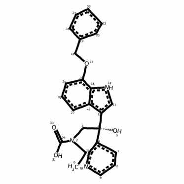 CCN(C[C@](O)(c1cccnc1)c1c[nH]c2c(OCc3ccccc3)cccc12)C(=O)O